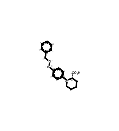 O=C(O)[C@@H]1CCCCN1c1ccc(NOCc2ccccc2)cc1